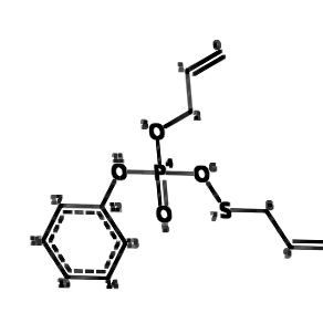 C=CCOP(=O)(OSCC=C)Oc1ccccc1